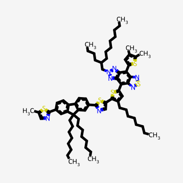 CCCCCCCCc1cc(-c2c3c(c(-c4cc(C)c(C)s4)c4nn(CC(CCCC)CCCCCCCC)nc24)N=S=N3)sc1-c1cnc(-c2ccc3c(c2)C(CCCCCCCC)(CCCCCCCC)c2cc(-c4ncc(C)s4)ccc2-3)s1